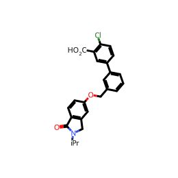 CC(C)N1Cc2cc(OCc3cccc(-c4ccc(Cl)c(C(=O)O)c4)c3)ccc2C1=O